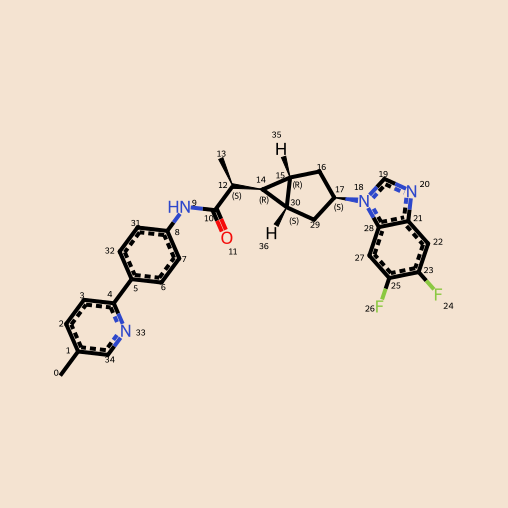 Cc1ccc(-c2ccc(NC(=O)[C@@H](C)[C@H]3[C@@H]4C[C@@H](n5cnc6cc(F)c(F)cc65)C[C@@H]43)cc2)nc1